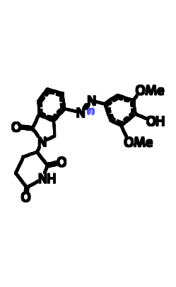 COc1cc(/N=N/c2cccc3c2CN(C2CCC(=O)NC2=O)C3=O)cc(OC)c1O